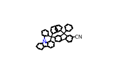 N#Cc1ccc2c(c1)C(c1ccccc1)(c1ccccc1)c1cc(C3(c4ccccc4)c4ccccc4-n4c5ccccc5c5cccc3c54)ccc1-2